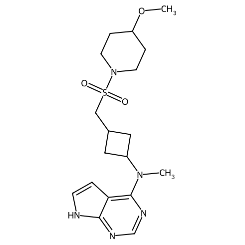 COC1CCN(S(=O)(=O)CC2CC(N(C)c3ncnc4[nH]ccc34)C2)CC1